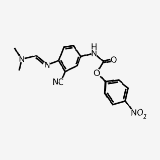 CN(C)C=Nc1ccc(NC(=O)Oc2ccc([N+](=O)[O-])cc2)cc1C#N